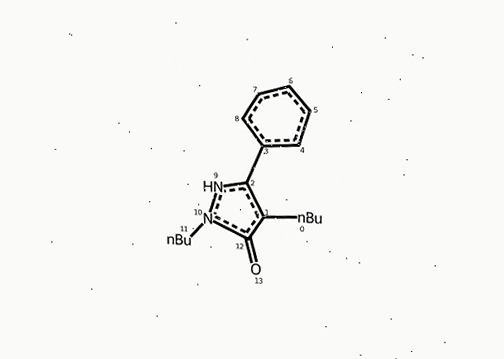 CCCCc1c(-c2ccccc2)[nH]n(CCCC)c1=O